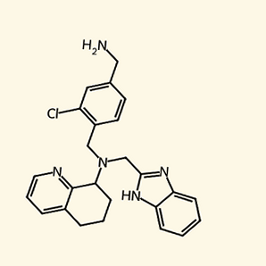 NCc1ccc(CN(Cc2nc3ccccc3[nH]2)C2CCCc3cccnc32)c(Cl)c1